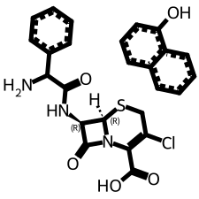 NC(C(=O)N[C@@H]1C(=O)N2C(C(=O)O)=C(Cl)CS[C@H]12)c1ccccc1.Oc1cccc2ccccc12